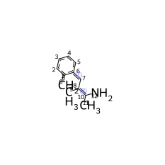 C=c1cccc/c1=C/C(C)=C(/C)N